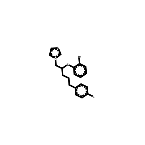 Clc1ccc(CCCC(Cn2ccnc2)Sc2ccccc2Br)cc1